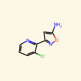 Nc1cc(-c2ncccc2Cl)no1